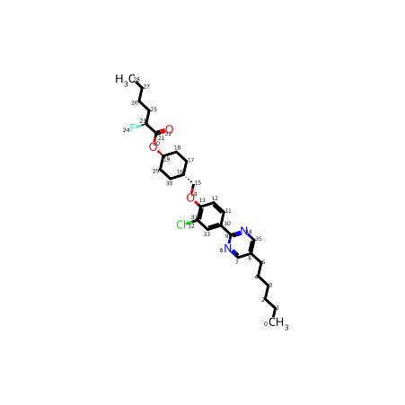 CCCCCCc1cnc(-c2ccc(OC[C@H]3CC[C@H](OC(=O)[C@@H](F)CCCC)CC3)c(Cl)c2)nc1